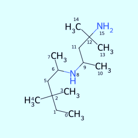 CCC(C)(C)CC(C)NC(C)CC(C)(C)N